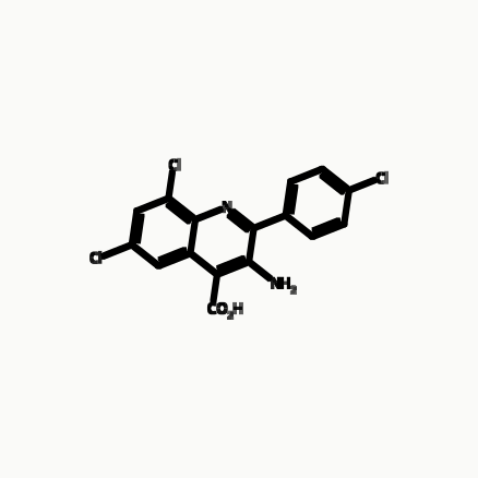 Nc1c(-c2ccc(Cl)cc2)nc2c(Cl)cc(Cl)cc2c1C(=O)O